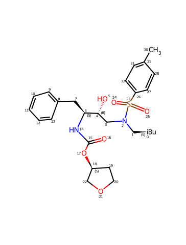 CC[C@H](C)CN(C[C@@H](O)[C@H](Cc1ccccc1)NC(=O)O[C@H]1CCOC1)S(=O)(=O)c1ccc(C)cc1